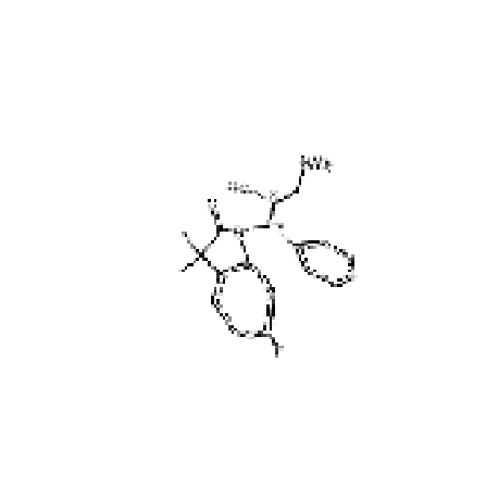 CNC[C@@H](O)[C@H](c1ccccc1)N1C(=O)C(C)(C)c2ccc(F)cc21